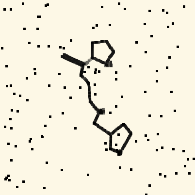 C=C(CCCNCC1CCOC1)[C@@H]1CCCN1